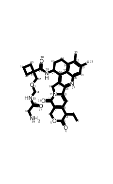 CCC1C(=O)OCc2c1cc1n(c2=O)Cc2c-1nc1cc(F)c(C)c3c1c2C(NC(=O)C1(COCNC(=O)CN)CCC1)CC3